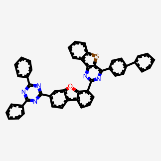 c1ccc(-c2ccc(-c3nc(-c4cccc5c4oc4cc(-c6nc(-c7ccccc7)nc(-c7ccccc7)n6)ccc45)nc4c3sc3ccccc34)cc2)cc1